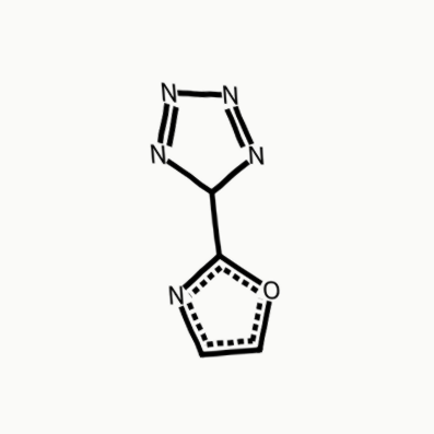 c1coc(C2N=NN=N2)n1